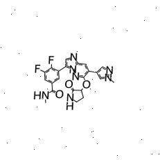 CNC(=O)c1cc(F)c(F)c(-c2cnc3cc(-c4cnn(C)c4)c(OC4CCNC4=O)nn23)c1